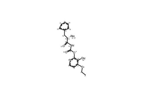 CCOc1ccnc(OC(=O)NC(=O)[C@@H](N)Cc2ccccc2)c1O